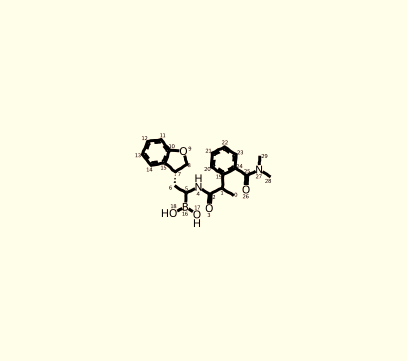 CC(C(=O)NC(C[C@H]1COc2ccccc21)B(O)O)c1ccccc1C(=O)N(C)C